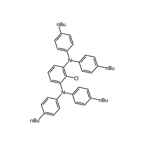 CCCCc1ccc(N(c2ccc(CCCC)cc2)c2cccc(N(c3ccc(CCCC)cc3)c3ccc(CCCC)cc3)c2Cl)cc1